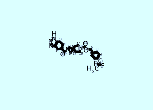 CC(F)(F)Oc1ccc(COC(=O)N2CCC3(CC2)CN(C(=O)C2CCc4[nH]nnc4C2)C3)cc1